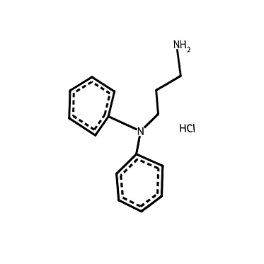 Cl.NCCCN(c1ccccc1)c1ccccc1